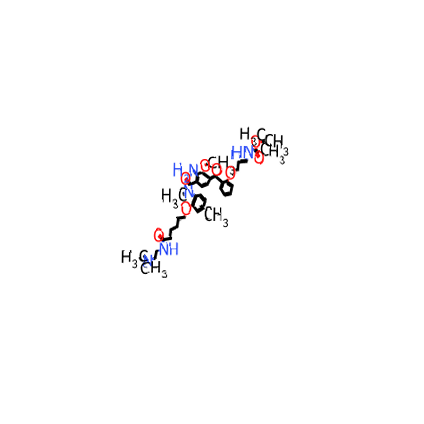 COc1c(C(=O)c2ccccc2OCCCNC(=O)OC(C)(C)C)ccc(C(=O)N(C)c2ccc(C)cc2OCCCCCC(=O)NCCN(C)C)c1N